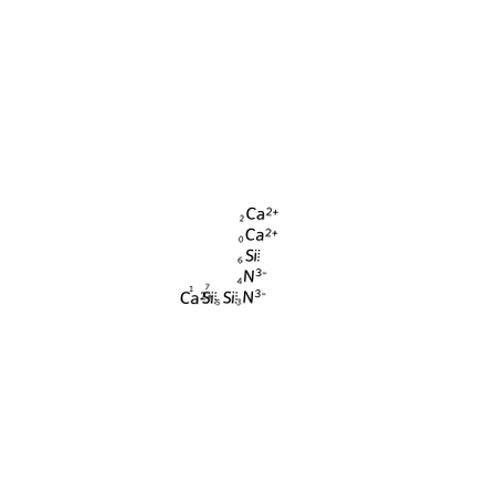 [Ca+2].[Ca+2].[Ca+2].[N-3].[N-3].[Si].[Si].[Si]